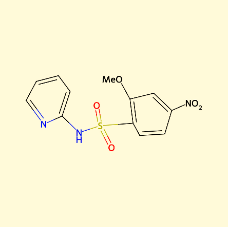 COc1cc([N+](=O)[O-])ccc1S(=O)(=O)Nc1ccccn1